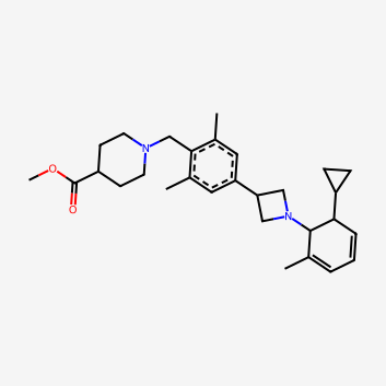 COC(=O)C1CCN(Cc2c(C)cc(C3CN(C4C(C)=CC=CC4C4CC4)C3)cc2C)CC1